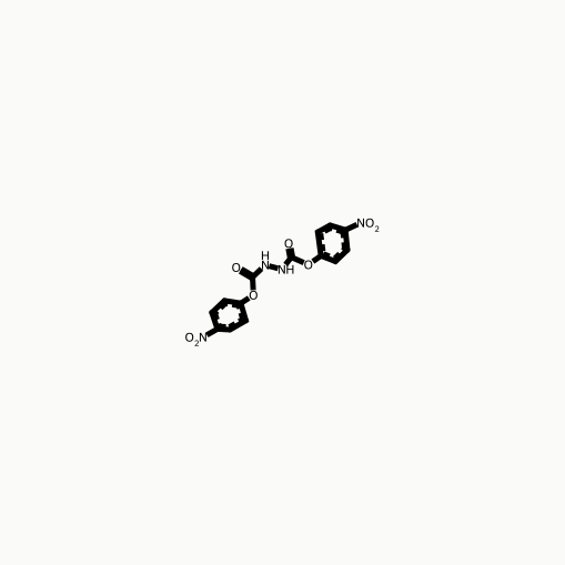 O=C(NNC(=O)Oc1ccc([N+](=O)[O-])cc1)Oc1ccc([N+](=O)[O-])cc1